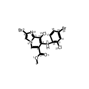 COC(=O)c1cn2cc(Br)nc2c(Cl)c1Nc1ccc(Br)cc1Cl